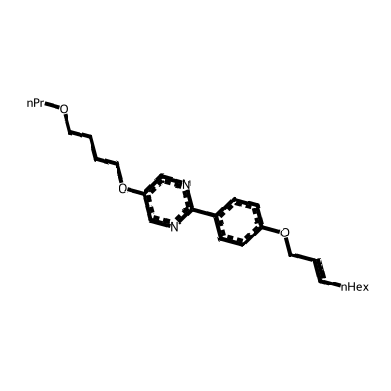 CCCCCC/C=C/COc1ccc(-c2ncc(OCCCCOCCC)cn2)cc1